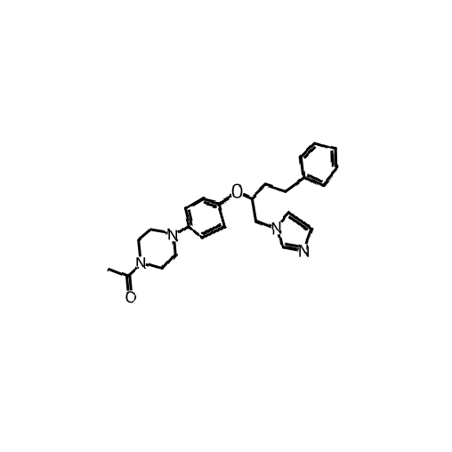 CC(=O)N1CCN(c2ccc(OC(CCc3ccccc3)Cn3ccnc3)cc2)CC1